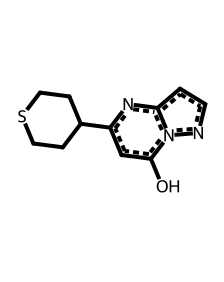 Oc1cc(C2CCSCC2)nc2ccnn12